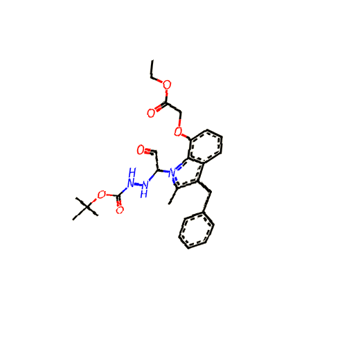 CCOC(=O)COc1cccc2c(Cc3ccccc3)c(C)n(C(C=O)NNC(=O)OC(C)(C)C)c12